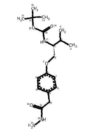 CC(C)[C@H](COc1ccc(CC(=O)NN)cc1)NC(=O)OC(C)(C)C